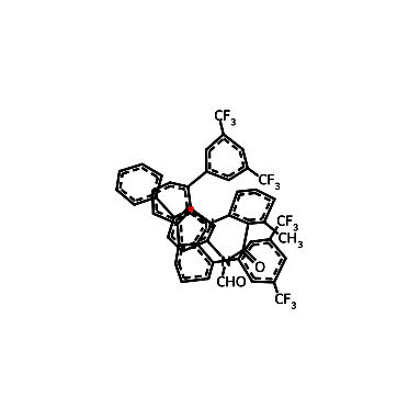 Cc1cccc(-n2c3c(-c4cc(C(F)(F)F)cc(C(F)(F)F)c4)cccc3c3cccc(-c4cc(C(F)(F)F)cc(C(F)(F)F)c4)c32)c1C(=O)N(C=O)c1ccc(-c2ccccc2)cc1